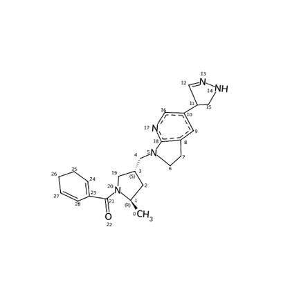 C[C@@H]1C[C@@H](CN2CCc3cc(C4C=NNC4)cnc32)CN1C(=O)C1=CCCC=C1